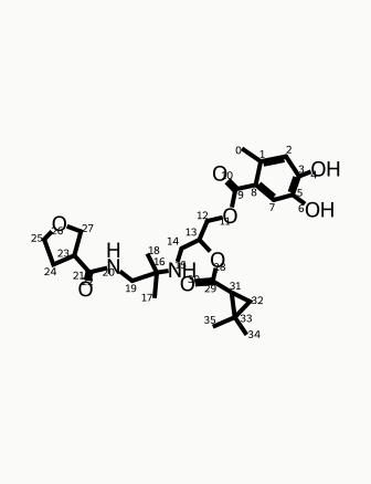 Cc1cc(O)c(O)cc1C(=O)OCC(CNC(C)(C)CNC(=O)C1CCOC1)OC(=O)C1CC1(C)C